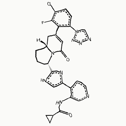 O=C(Nc1cnccc1-c1c[nH]c([C@@H]2CC[C@@H]3CC(c4c(-n5cnnn5)ccc(Cl)c4F)=CC(=O)N32)n1)C1CC1